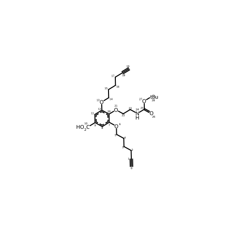 C#CCCCCOc1cc(C(=O)O)cc(OCCCCC#C)c1OCCNC(=O)OC(C)(C)C